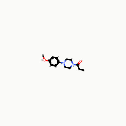 CCC(=O)N1CCN(c2ccc(OC)cc2)CC1